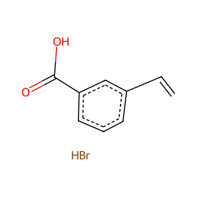 Br.C=Cc1cccc(C(=O)O)c1